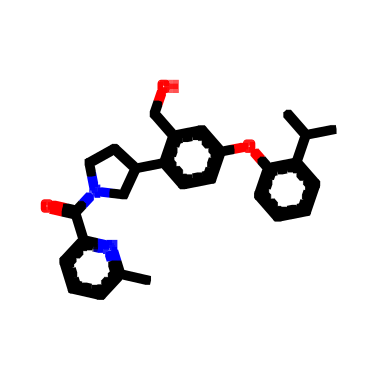 Cc1cccc(C(=O)N2CCC(c3ccc(Oc4ccccc4C(C)C)cc3CO)C2)n1